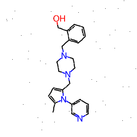 Cc1ccc(CN2CCN(Cc3ccccc3CO)CC2)n1-c1cccnc1